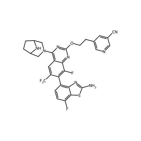 N#Cc1cncc(CCOc2nc(N3CC4CCC(C3)N4)c3cc(C(F)(F)F)c(-c4ccc(F)c5sc(N)nc45)c(F)c3n2)c1